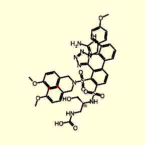 COc1ccc(CN(Cc2ccc(OC)cc2)S(=O)(=O)c2c(S(=O)(=O)N[C@H](CO)CNC(=O)O)ccc(-c3cccc4[nH]c(N)nc34)c2-c2nnnn2Cc2ccc(OC)cc2)cc1